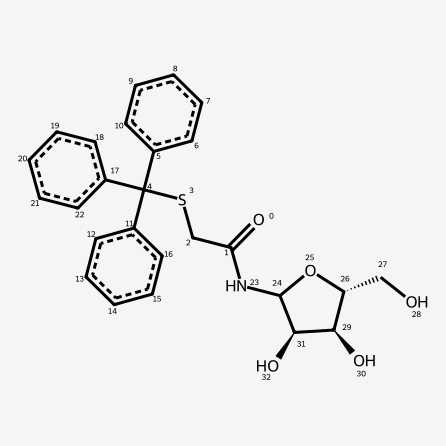 O=C(CSC(c1ccccc1)(c1ccccc1)c1ccccc1)NC1O[C@H](CO)[C@@H](O)[C@H]1O